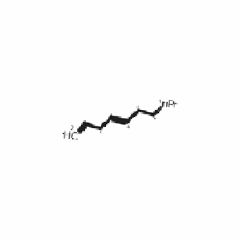 [CH]=CC/C=C/CCCCC